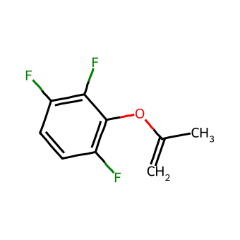 C=C(C)Oc1c(F)ccc(F)c1F